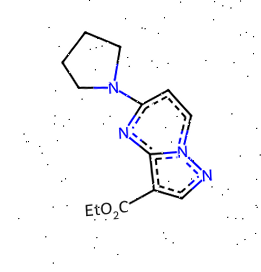 CCOC(=O)c1cnn2ccc(N3CCCC3)nc12